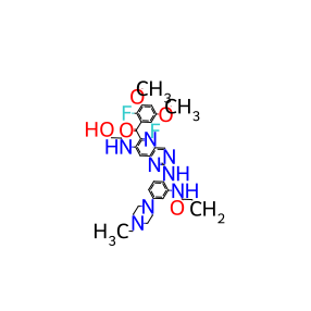 C=CC(=O)Nc1cc(N2CCN(CC)CC2)ccc1Nc1ncc2nc(C(=O)c3c(F)c(OC)cc(OC)c3F)c(NCCO)cc2n1